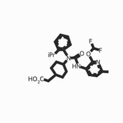 Cc1ccc(NC(=O)N(c2ccccc2C(C)C)C2CCC(CC(=O)O)CC2)c(OC(F)F)n1